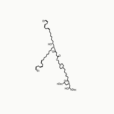 CC/C=C\C/C=C\C/C=C\CCCCCC[C@@H](O)CN(CCCCC(=O)OCCN1CCN(CCSSCCCN(CC(O)CCCCCCCCCC)CC(O)CCCCCCCCCC)CC1)C[C@H](O)CCCCCC/C=C\C/C=C\C/C=C\CC